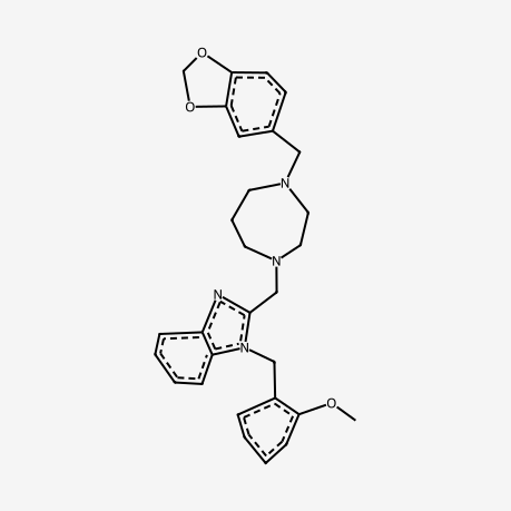 COc1ccccc1Cn1c(CN2CCCN(Cc3ccc4c(c3)OCO4)CC2)nc2ccccc21